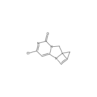 O=c1nc(Cl)cc2n1CC13CC1=CN23